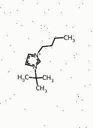 CCCC[n+]1ccn(C(C)(C)C)c1